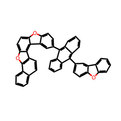 c1ccc2c(c1)ccc1c2oc2ccc3oc4ccc(-c5c6ccccc6c(-c6ccc7oc8ccccc8c7c6)c6ccccc56)cc4c3c21